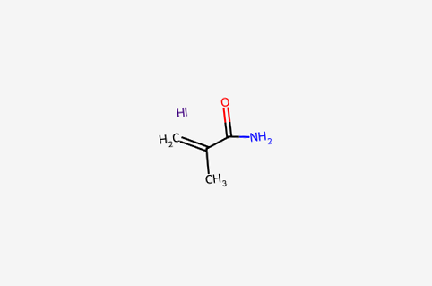 C=C(C)C(N)=O.I